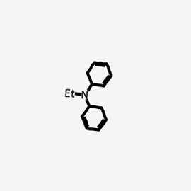 CCN(C1C=CC=CC1)C1C=CC=CC1